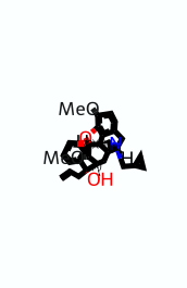 C=CCC(O)(c1ccccc1)[C@]1(C)CC2[C@H]3Cc4ccc(OC)c5c4[C@@]2(CCN3CC2CC2)[C@@H](O5)C1OC